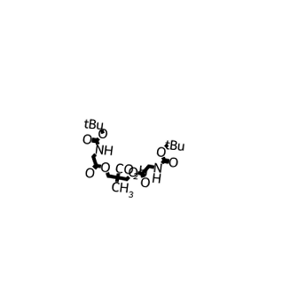 CC(C)(C)OC(=O)NCC(=O)OCC(C)(COC(=O)CNC(=O)OC(C)(C)C)C(=O)O